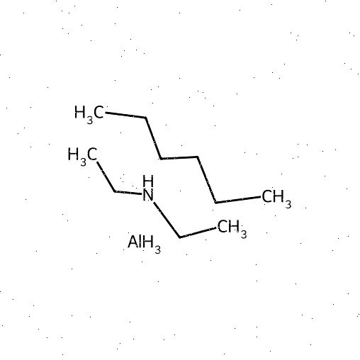 CCCCCC.CCNCC.[AlH3]